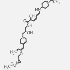 C=C/C(=C\C1=CCN(C[C@@H](O)CNC(=O)C(=C)/C=C\C=C\NC2CCN(C(C)=O)CC2)CC1)OCC1CN1OOC